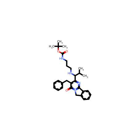 CC(C)C(NCCCNC(=O)OC(C)(C)C)c1nc2n(c(=O)c1Cc1ccccc1)Cc1ccccc1-2